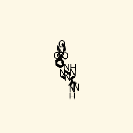 O=S(=O)(c1cccc(Nc2nccn3c(-c4cn[nH]c4)cnc23)c1)N1CCOCC1